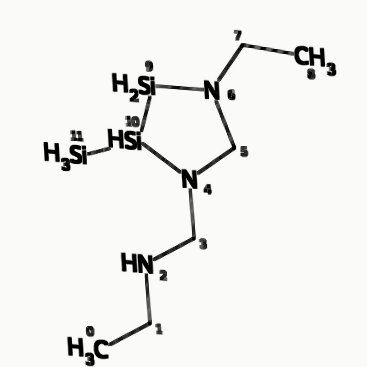 CCNCN1CN(CC)[SiH2][SiH]1[SiH3]